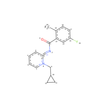 O=C(/N=c1\ccccn1CC1CC1)c1cc(F)ccc1C(F)(F)F